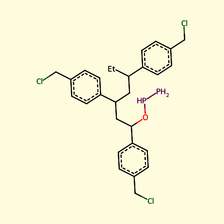 CCC(CC(CC(OPP)c1ccc(CCl)cc1)c1ccc(CCl)cc1)c1ccc(CCl)cc1